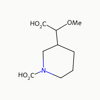 COC(C(=O)O)C1CCCN(C(=O)O)C1